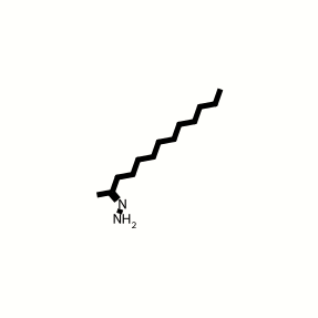 CCCCCCCCCCCC(C)=NN